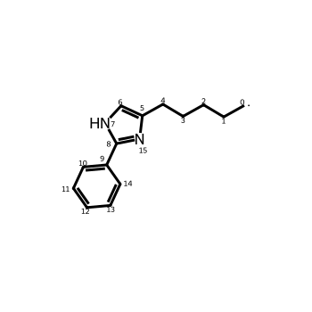 [CH2]CCCCc1c[nH]c(-c2ccccc2)n1